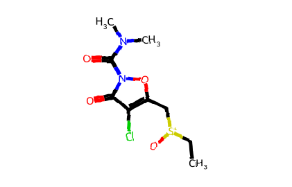 CC[S+]([O-])Cc1on(C(=O)N(C)C)c(=O)c1Cl